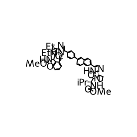 CC[C@@H](c1ncc(-c2ccc(-c3ccc4cc(-c5cnc([C@@H]6CCCN6C(=O)[C@@H](NC(=O)OC)C(C)C)[nH]5)ccc4c3)cc2)[nH]1)N(CC)C(=O)[C@H](NC(=O)OC)c1ccccc1F